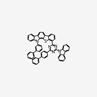 c1ccc(-c2ccc(-c3nc(-c4cccc5c4sc4c5ccc5c6ccccc6n(-c6cccc(-c7ccccc7)c6)c54)nc(-n4c5ccccc5c5ccccc54)n3)cc2)cc1